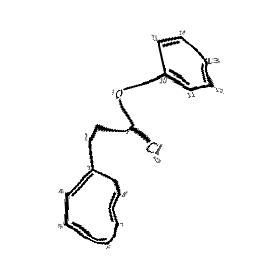 ClC(Cc1ccccc1)Oc1cc[c]cc1